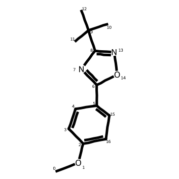 COc1ccc(-c2nc(C(C)(C)C)no2)cc1